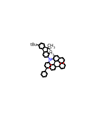 CC(C)(C)c1ccc2c(c1)-c1ccc(N(c3ccc(-c4ccccc4)cc3)c3ccc4ccccc4c3-c3ccccc3-c3ccccc3)cc1C2(C)C